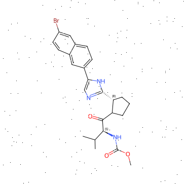 COC(=O)N[C@H](C(=O)C1CCC[C@H]1c1ncc(-c2ccc3cc(Br)ccc3c2)[nH]1)C(C)C